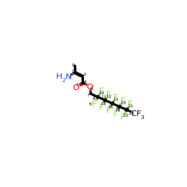 C/C(N)=C/C(=O)OCC(F)(F)C(F)(F)C(F)(F)C(F)(F)C(F)(F)C(F)(F)F